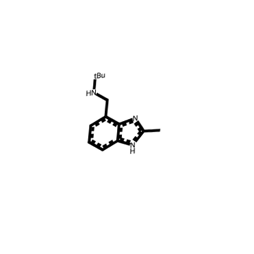 Cc1nc2c(CNC(C)(C)C)cccc2[nH]1